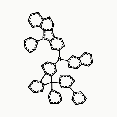 c1ccc(-c2cccc(C3(c4ccccc4)c4ccccc4-c4ccc(N(c5ccc6ccccc6c5)c5ccc6c7ccc8ccccc8c7n(-c7ccccc7)c6c5)cc43)c2)cc1